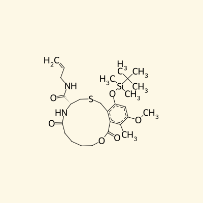 C=CCNC(=O)[C@@H]1CSCc2c(O[Si](C)(C)C(C)(C)C)cc(OC)c(C)c2C(=O)OCCCCC(=O)N1